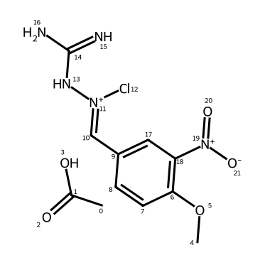 CC(=O)O.COc1ccc(C=[N+](Cl)NC(=N)N)cc1[N+](=O)[O-]